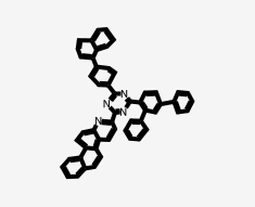 c1ccc(-c2ccc(-c3nc(-c4ccc(-c5cccc6ccccc56)cc4)nc(-c4ccc5c(ccc6c7ccccc7ccc56)n4)n3)c(-c3ccccc3)c2)cc1